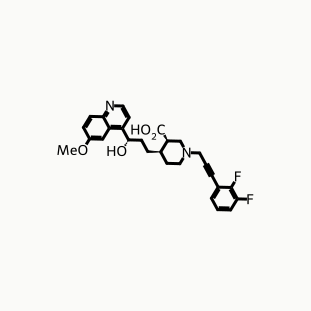 COc1ccc2nccc([C@@H](O)CC[C@@H]3CCN(CC#Cc4cccc(F)c4F)C[C@@H]3C(=O)O)c2c1